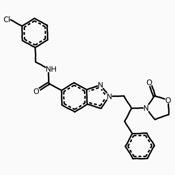 O=C(NCc1cccc(Cl)c1)c1ccc2cn(CC(Cc3ccccc3)N3CCOC3=O)nc2c1